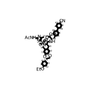 CCOc1ccc([C@H]2COc3cc4c(cc3O2)CN(S(=O)(=O)c2sc(NC(C)=O)nc2C)C(C(=O)N[C@@H](Cc2ccc(-c3ccc(C#N)cc3)cc2)C(=O)OC)C4)cc1